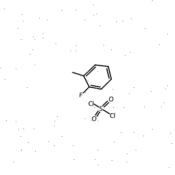 Cc1ccccc1F.O=S(=O)(Cl)Cl